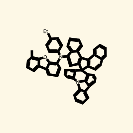 CCc1ccc(N(c2cc3c(c4ccccc24)-c2c(ccc4ccccc24)C32c3ccccc3-n3c4ccccc4c4cccc2c43)c2cccc3c2oc2c(C)cccc23)cc1